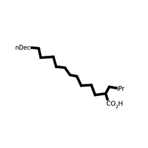 CCCCCCCCCCCCCCCCCCCCC(CC(C)C)C(=O)O